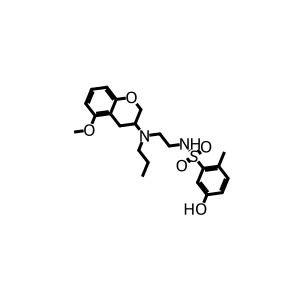 CCCN(CCNS(=O)(=O)c1cc(O)ccc1C)C1COc2cccc(OC)c2C1